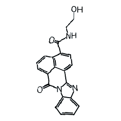 O=C(NCCO)c1ccc2c3c1cccc3c(=O)n1c3ccccc3nc21